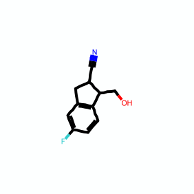 N#CC1Cc2cc(F)ccc2C1CO